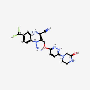 N#C/C(N)=C(\COc1ccc(N2CCNC(=O)C2)nn1)N(N)c1ccc(C(F)F)cc1